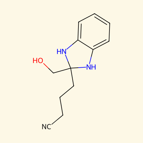 N#CCCCC1(CO)Nc2ccccc2N1